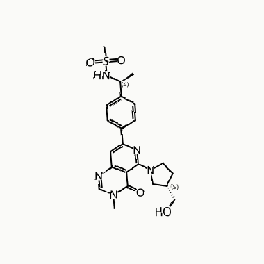 C[C@H](NS(C)(=O)=O)c1ccc(-c2cc3ncn(C)c(=O)c3c(N3CC[C@H](CO)C3)n2)cc1